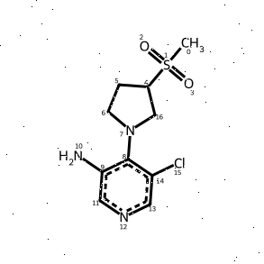 CS(=O)(=O)C1CCN(c2c(N)cncc2Cl)C1